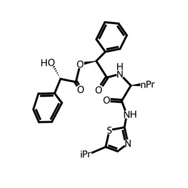 CCC[C@H](NC(=O)[C@@H](OC(=O)[C@@H](O)c1ccccc1)c1ccccc1)C(=O)Nc1ncc(C(C)C)s1